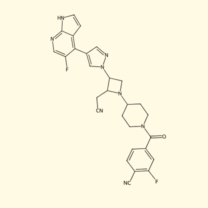 N#CCC1C(n2cc(-c3c(F)cnc4[nH]ccc34)cn2)CN1C1CCN(C(=O)c2ccc(C#N)c(F)c2)CC1